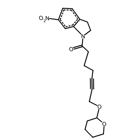 O=C(CCCC#CCOC1CCCCO1)N1CCc2ccc([N+](=O)[O-])cc21